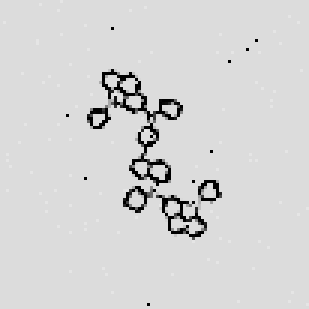 c1ccc(N(c2ccc(-c3cccc4c(N(c5ccccc5)c5cc6ccc7cccc8c7c6c(c5)n8-c5ccccc5)cccc34)cc2)c2cc3ccc4cccc5c4c3c(c2)n5-c2ccccc2)cc1